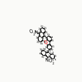 O=[N+]([O-])c1c2ccccc2c(-c2ccc3c(c2)oc2c(-c4c5ccccc5c([N+](=O)[O-])c5ccccc45)cccc23)c2ccccc12